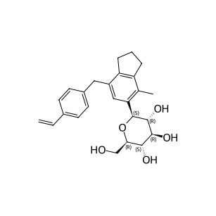 C=Cc1ccc(Cc2cc([C@@H]3O[C@H](CO)[C@@H](O)[C@H](O)[C@H]3O)c(C)c3c2CCC3)cc1